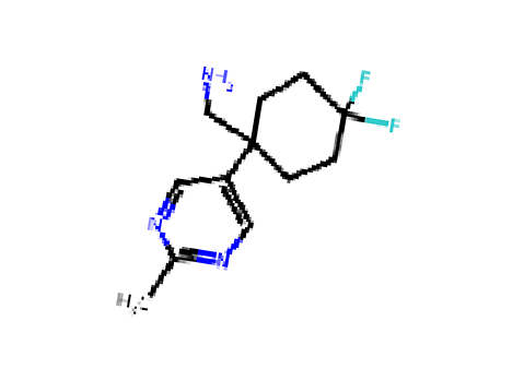 Cc1ncc(C2(CN)CCC(F)(F)CC2)cn1